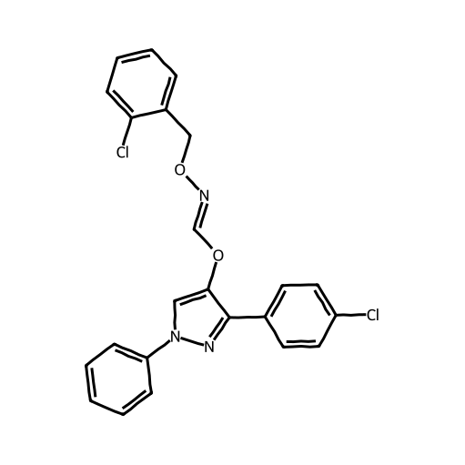 Clc1ccc(-c2nn(-c3ccccc3)cc2O/C=N/OCc2ccccc2Cl)cc1